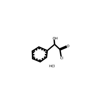 Cl.O=C(Cl)C(O)c1ccccc1